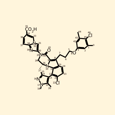 Cc1cc(OCCCc2c3n(c4c(-c5c(C)nn(C)c5C)c(Cl)ccc24)[C@H](C)CN(c2cn4cc(C(=O)O)ccc4n2)C3=O)cc(C)c1Cl